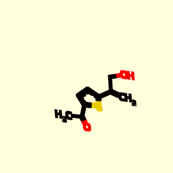 C=C(CO)c1ccc(C(C)=O)s1